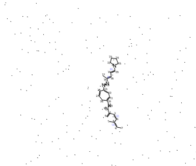 C=C(/C=C\C(C)=C/C)N=NC1=CC=C(N=N/C(C)=C/C=C/N2CCCC2)C=CC1